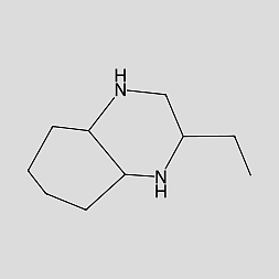 CCC1CNC2CCCCC2N1